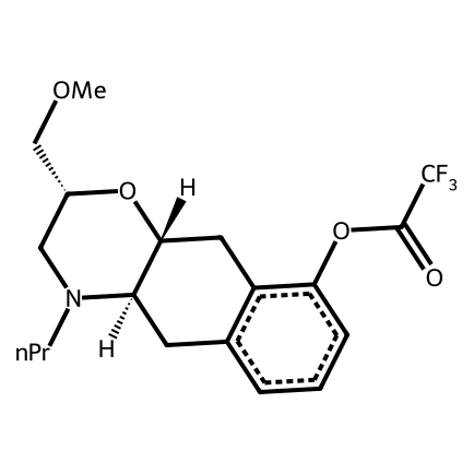 CCCN1C[C@H](COC)O[C@@H]2Cc3c(cccc3OC(=O)C(F)(F)F)C[C@H]21